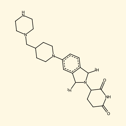 [2H]C1c2ccc(N3CCC(CN4CCNCC4)CC3)cc2C([2H])N1C1CCC(=O)NC1=O